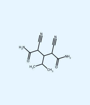 CC(C)C(C(C#N)C(N)=O)C(C#N)C(N)=O